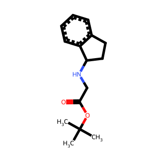 CC(C)(C)OC(=O)CNC1CCc2ccccc21